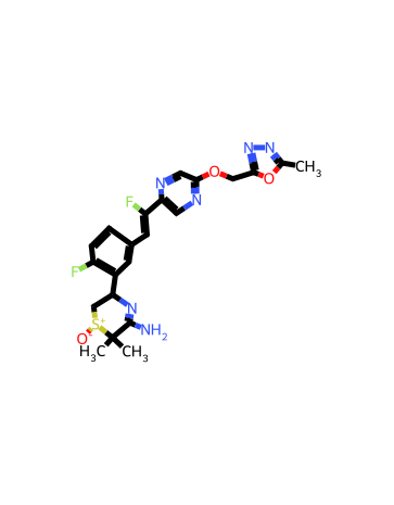 Cc1nnc(COc2cnc(/C(F)=C/c3ccc(F)c(C4C[S+]([O-])C(C)(C)C(N)=N4)c3)cn2)o1